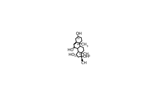 C#C[C@]1(O)C[C@H](O)C2C3C(CC[C@@]21C)[C@@]1(C)CC[C@H](O)CC1=C[C@@H]3O